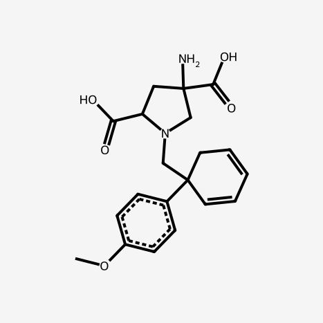 COc1ccc(C2(CN3CC(N)(C(=O)O)CC3C(=O)O)C=CC=CC2)cc1